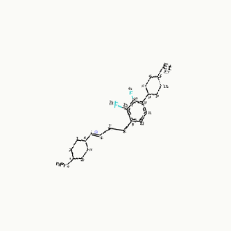 CCCC1CCC(/C=C/CCc2ccc(C3CCC(CC)CC3)c(F)c2F)CC1